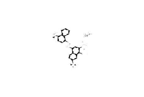 O=S(=O)([O-])c1ccc2c(N=Nc3ccc(S(=O)(=O)[O-])c4ccccc34)cc(S(=O)(=O)[O-])c(O)c2c1.[Na+].[Na+].[Na+]